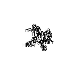 CCCC1COCC(=O)C1NC(=O)[C@H](CC(C)C)NC(=O)c1ccc(NCC2CCNCC2)cc1.CCCC1COCC(=O)[C@H]1NC(=O)[C@H](CC(C)C)NC(=O)c1ccc(O)c(CN2CCOCC2)c1